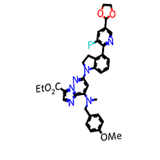 CCOC(=O)c1cnc2c(N(C)Cc3ccc(OC)cc3)cc(N3CCc4c(-c5ncc(C6OCCO6)cc5F)cccc43)nn12